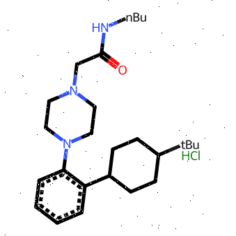 CCCCNC(=O)CN1CCN(c2ccccc2C2CCC(C(C)(C)C)CC2)CC1.Cl